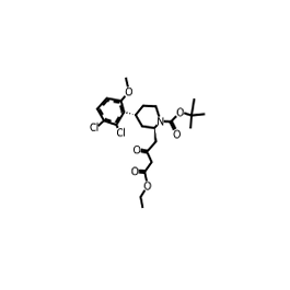 CCOC(=O)CC(=O)C[C@H]1C[C@H](c2c(OC)ccc(Cl)c2Cl)CCN1C(=O)OC(C)(C)C